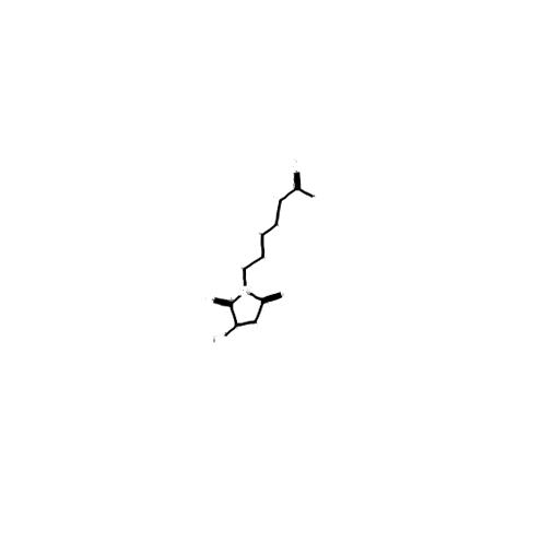 CC(C)C1CC(=O)N(CCCCCC(=O)I)C1=O